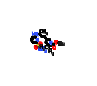 CC(CCC1CN(C(=O)OC(C)(C)C)C(C)(C)C1)Nc1cccc(S(N)(=O)=O)n1